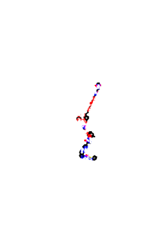 Cc1c(-c2ccc(N3CCc4cccc(C(=O)Nc5nc6ccccc6s5)c4C3)nc2C(=O)O)cnn1CC12CC3(C)CC(C)(C1)CC(OCCN(C)C(=O)OCc1ccc(CCCOCCOCCOCCNC(=O)CCN4C(=O)C=CC4=O)cc1O[C@H]1C[C@@H](O)C[C@@H](C(=O)O)O1)(C3)C2